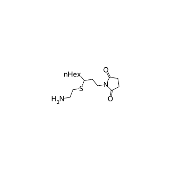 CCCCCCC(CCN1C(=O)CCC1=O)SCCN